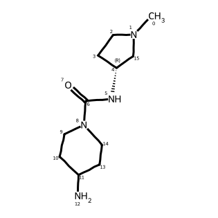 CN1CC[C@@H](NC(=O)N2CCC(N)CC2)C1